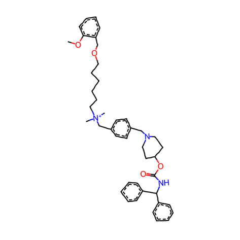 COc1ccccc1COCCCCCC[N+](C)(C)Cc1ccc(CN2CCC(OC(=O)NC(c3ccccc3)c3ccccc3)CC2)cc1